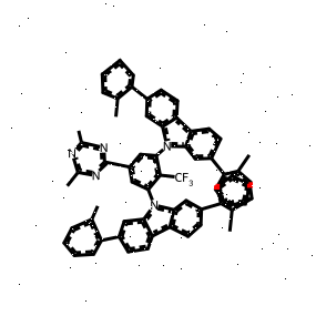 Cc1nc(C)nc(-c2cc(-n3c4cc(-c5ccccc5C)ccc4c4ccc(-c5ccccc5C)cc43)c(C(F)(F)F)c(-n3c4cc(-c5ccccc5C)ccc4c4ccc(-c5ccccc5C)cc43)c2)n1